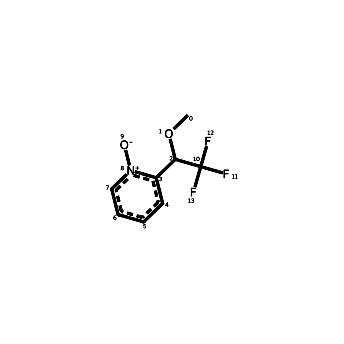 COC(c1cccc[n+]1[O-])C(F)(F)F